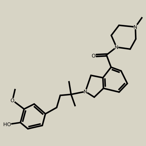 COc1cc(CCC(C)(C)N2Cc3cccc(C(=O)N4CCN(C)CC4)c3C2)ccc1O